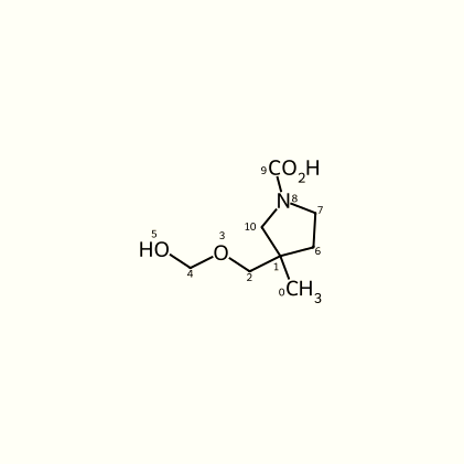 CC1(COCO)CCN(C(=O)O)C1